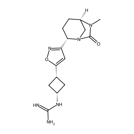 CN1C(=O)N2C[C@H]1CC[C@H]2c1cc([C@H]2C[C@@H](NC(=N)N)C2)on1